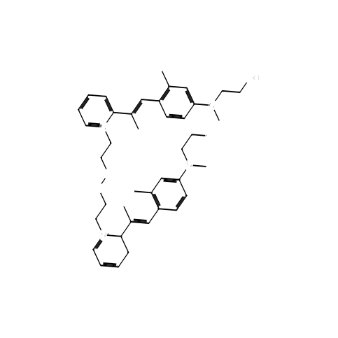 C/C(=C\c1ccc(N(C)CCO)cc1C)c1cccc[n+]1CCSSCC[N+]1=CC=CCC1/C(C)=C/c1ccc(N(C)CCO)cc1C